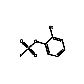 CCc1ccccc1OS(=O)(=O)F